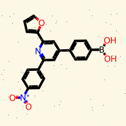 O=[N+]([O-])c1ccc(-c2cc(-c3ccc(B(O)O)cc3)cc(-c3ccco3)n2)cc1